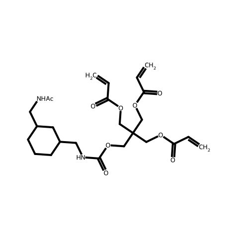 C=CC(=O)OCC(COC(=O)C=C)(COC(=O)C=C)COC(=O)NCC1CCCC(CNC(C)=O)C1